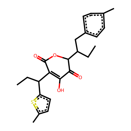 CCC(C1=C(O)C(=O)C(C(CC)Cc2ccc(C)cc2)OC1=O)c1ccc(C)s1